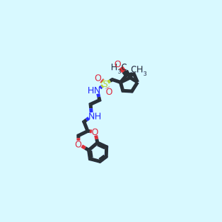 CC1(C)C2CCC1(CS(=O)(=O)NCCNCC1COc3ccccc3O1)C(=O)C2